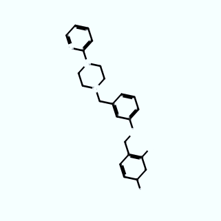 FC1C=CC(COc2cccc(CN3CCN(c4ccccn4)CC3)c2)=C(Cl)C1